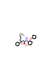 CCCCC1(c2ccccc2)CC(Nc2ccccc2Oc2ccccc2)C(=O)O1